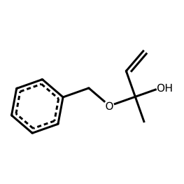 C=CC(C)(O)OCc1ccccc1